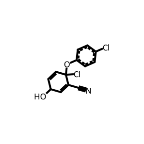 N#CC1=CC(O)C=CC1(Cl)Oc1ccc(Cl)cc1